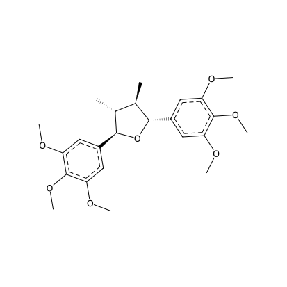 COc1cc([C@@H]2O[C@@H](c3cc(OC)c(OC)c(OC)c3)[C@H](C)[C@H]2C)cc(OC)c1OC